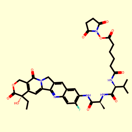 CC[C@@]1(O)C(=O)OCc2c1cc1n(c2=O)Cc2cc3cc(NC(=O)[C@H](C)NC(=O)[C@@H](NC(=O)CCCCC(=O)ON4C(=O)CCC4=O)C(C)C)c(F)cc3nc2-1